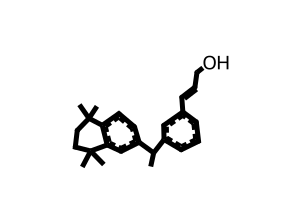 CC(c1cccc(C=CCO)c1)c1ccc2c(c1)C(C)(C)CCC2(C)C